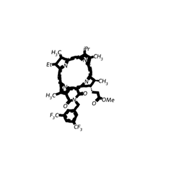 CCC1c2cc3[nH]c4c(c5nc(cc6[nH]c(cc(n2)C1C)c(C(C)C)c6C)[C@@H](C)[C@@H]5CCC(=O)OC)C(=O)N(Cc1cc(C(F)(F)F)cc(C(F)(F)F)c1)C(=O)c4c3C